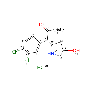 COC(=O)C(c1ccc(Cl)c(Cl)c1)[C@@H]1C[C@@H](O)CN1.Cl